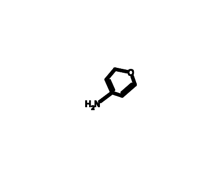 NC1=CCOC=C1